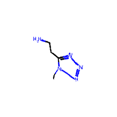 Cn1nnnc1CCN